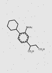 CC(=O)Nc1cc(C(CC(=O)O)C(=O)O)ccc1C1CCCCC1